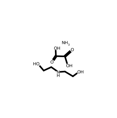 N.O=C(O)C(=O)O.OCCNCCO